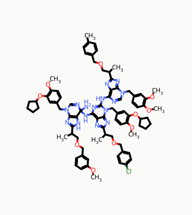 COc1cccc(COCC(C)c2nc3c([nH]2)C(N)(Nc2nc(Nc4ncn(Cc5ccc(OC)c(OC)c5)c5nc(C(C)COCc6ccc(C)cc6)nc4-5)n(Cc4ccc(OC)c(OC5CCCC5)c4)c4nc(C(C)COCc5ccc(Cl)cc5)nc2-4)N=CN3Cc2ccc(OC)c(OC3CCCC3)c2)c1